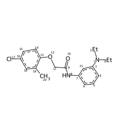 CCN(CC)c1cccc(NC(=O)COc2ccc(Cl)cc2C)c1